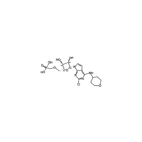 O=P(O)(O)COC[C@H]1O[C@@H](n2ccc3c(NC4CCOCC4)nc(Cl)nc32)[C@H](O)[C@@H]1O